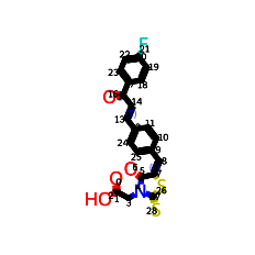 O=C(O)CN1C(=O)/C(=C\c2ccc(/C=C/C(=O)c3ccc(F)cc3)cc2)SC1=S